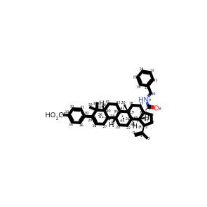 C=C(C)[C@@H]1CC[C@]2(C(=O)NCc3ccccc3)CC[C@]3(C)[C@H](CC[C@@H]4[C@@]5(C)CC=C(c6ccc(C(=O)O)cc6)C(C)(C)[C@@H]5CC[C@]43C)[C@@H]12